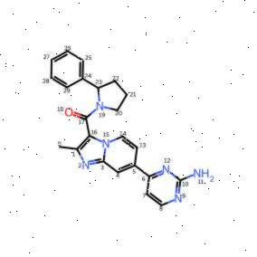 Cc1nc2cc(-c3ccnc(N)n3)ccn2c1C(=O)N1CCCC1c1ccccc1